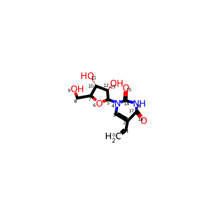 C=Cc1cn(C2OC(CO)[C@H](O)[C@@H]2O)c(=O)[nH]c1=O